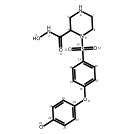 O=C(NO)C1CNCCN1S(=O)(=O)c1ccc(Oc2ccc(Cl)cc2)cc1